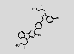 C[C@H](CO)Cn1cc(-c2ccc(-c3cc4c5ccccc5n(C[C@H](C)CO)c4cc3Br)cc2)c2ccc(Br)cc21